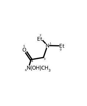 CCN(CC)CC(=O)N(C)O